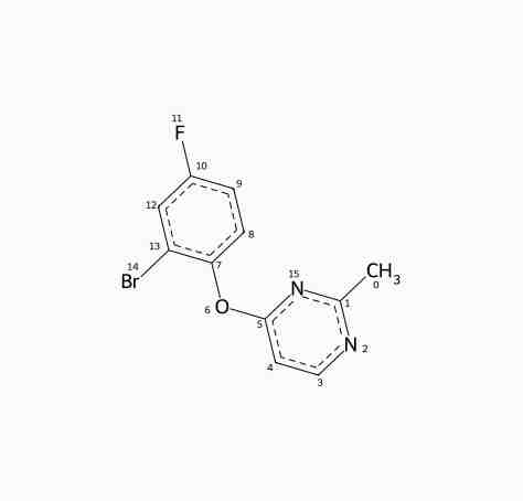 Cc1nccc(Oc2ccc(F)cc2Br)n1